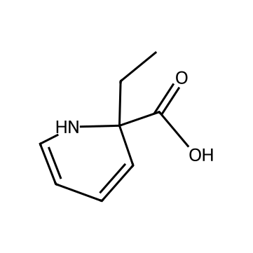 CCC1(C(=O)O)C=CC=CN1